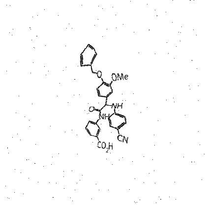 COc1cc(C(Nc2ccc(C#N)cc2)C(=O)Nc2cccc(C(=O)O)c2)ccc1OCc1ccccc1